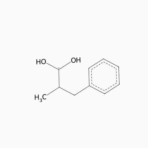 CC(Cc1ccccc1)[C](O)O